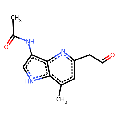 CC(=O)Nc1c[nH]c2c(C)cc(CC=O)nc12